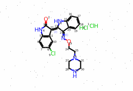 Cl.Cl.O=C1Nc2ccc(Cl)cc2/C1=C1/Nc2ccccc2/C1=N\OCCN1CCNCC1